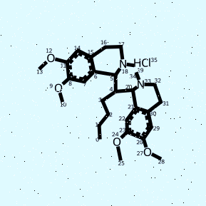 CCCCC(C1c2cc(OC)c(OC)cc2CCN1C)C1c2cc(OC)c(OC)cc2CCN1C.Cl